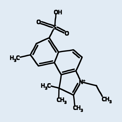 CC[N+]1=C(C)C(C)(C)c2c1ccc1c(S(=O)(=O)O)cc(C)cc21